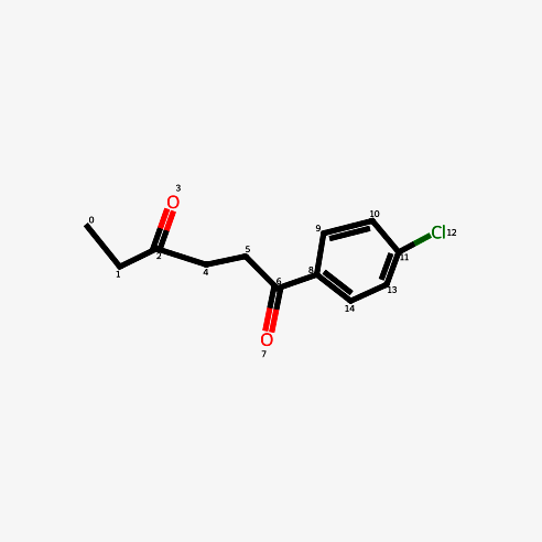 CCC(=O)CCC(=O)c1ccc(Cl)cc1